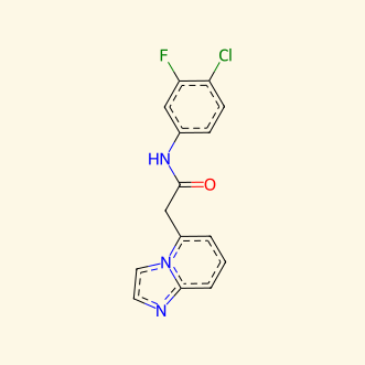 O=C(Cc1cccc2nccn12)Nc1ccc(Cl)c(F)c1